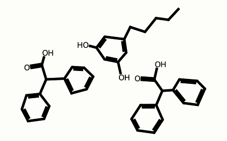 CCCCCc1cc(O)cc(O)c1.O=C(O)C(c1ccccc1)c1ccccc1.O=C(O)C(c1ccccc1)c1ccccc1